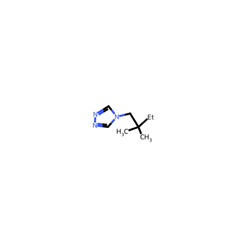 CCC(C)(C)Cn1cnnc1